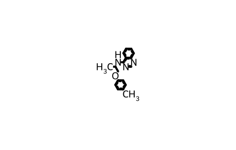 Cc1ccc(OCC(C)Nc2ncnc3ccccc23)cc1